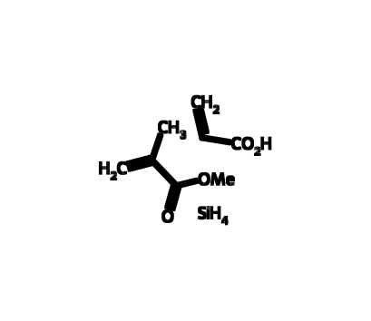 C=C(C)C(=O)OC.C=CC(=O)O.[SiH4]